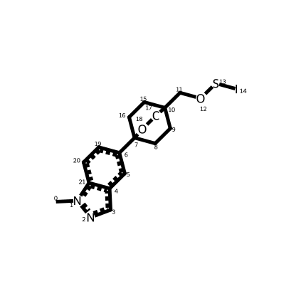 Cn1ncc2cc(C34CCC(COSI)(CC3)CO4)ccc21